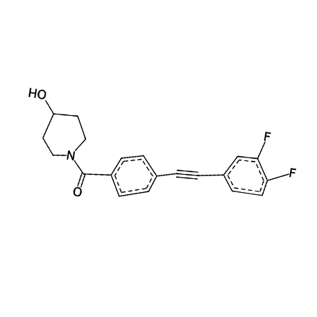 O=C(c1ccc(C#Cc2ccc(F)c(F)c2)cc1)N1CCC(O)CC1